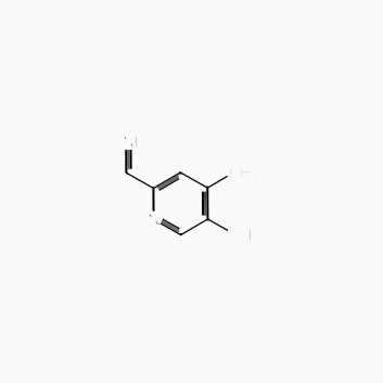 Cc1cnc(C=N)cc1C